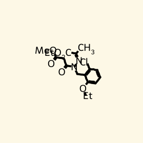 CCOC(=O)/C(C)=N\N(Cc1c(Cl)cccc1OCC)C(=O)CC(=O)OC